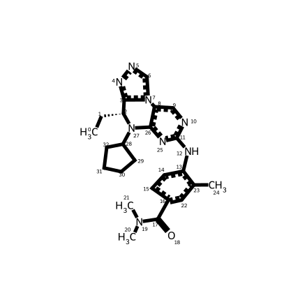 CC[C@@H]1c2nncn2-c2cnc(Nc3ccc(C(=O)N(C)C)cc3C)nc2N1C1CCCC1